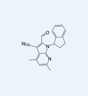 Cc1cc(C)c2c(C#N)c(C=O)n(C3CCc4ccccc43)c2n1